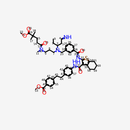 CCC(CC=N)N(CCCN(C)C(=O)CCC(C)(C)C(=O)OC)Cc1cccc(C(=O)Nc2sc3c(c2C(=O)Nc2ccc(CCc4ccc(C(=O)OC)cc4)cc2)CCCC3)c1